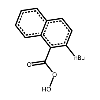 CCCCc1ccc2ccccc2c1C(=O)OO